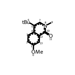 COc1ccc2c(C(C)(C)C)cn(C)c(=O)c2c1